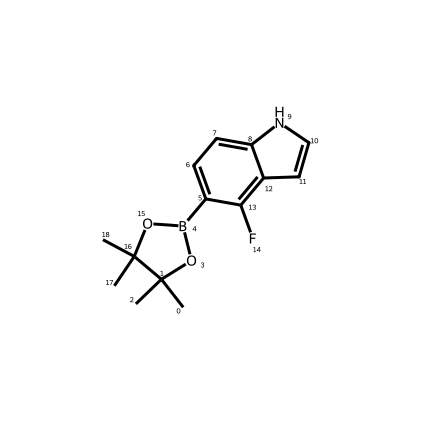 CC1(C)OB(c2ccc3[nH]ccc3c2F)OC1(C)C